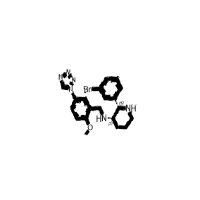 COc1ccc(-n2cnnn2)cc1CN[C@H]1CCCN[C@H]1c1cccc(Br)c1